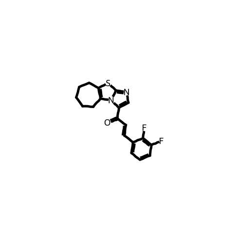 O=C(/C=C/c1cccc(F)c1F)c1cnc2sc3c(n12)CCCCC3